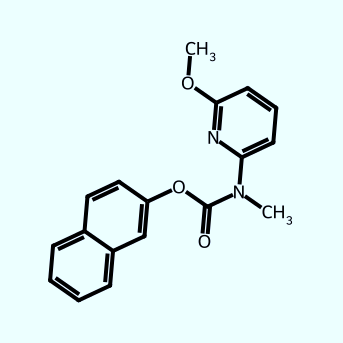 COc1cccc(N(C)C(=O)Oc2ccc3ccccc3c2)n1